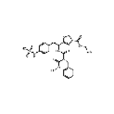 CCOC(=O)C1CSC([C@H](Cc2ccc(NS(=O)(=O)O)cc2)NC(=O)[C@H](Cc2ccccc2)C(=O)OC)=N1